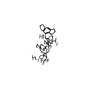 CN(CC(F)(F)F)[C@@H]1COc2c([S@@](N)(=O)=NC(=O)Nc3c4c(cc5c3CCC5)CCC4)cnn2C1